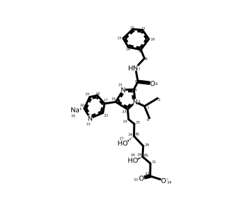 CC(C)n1c(C(=O)NCc2ccccc2)nc(-c2cccnc2)c1CC[C@@H](O)C[C@@H](O)CC(=O)[O-].[Na+]